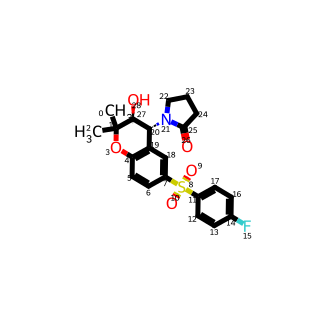 CC1(C)Oc2ccc(S(=O)(=O)c3ccc(F)cc3)cc2[C@@H](N2CCCC2=O)[C@@H]1O